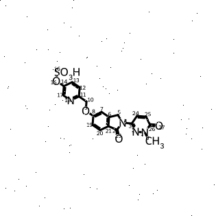 Cn1nc(N2Cc3cc(OCc4ccc(OS(=O)(=O)O)cn4)ccc3C2=O)ccc1=O